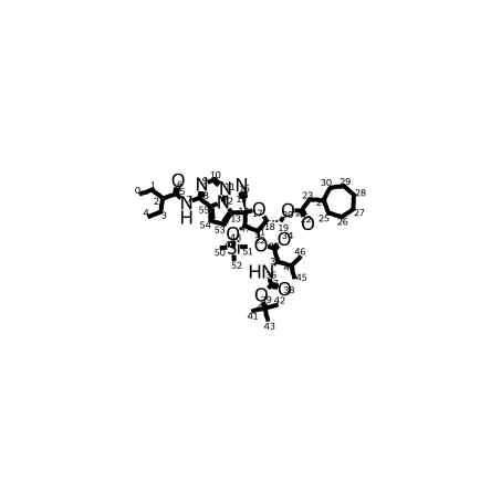 CCC(CC)C(=O)Nc1ncnn2c([C@]3(C#N)O[C@H](COC(=O)CC4CCCCCC4)[C@@H](OC(=O)[C@@H](NC(=O)OC(C)(C)C)C(C)C)[C@H]3O[Si](C)(C)C)ccc12